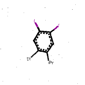 CCc1cc(I)c(I)cc1C(C)C